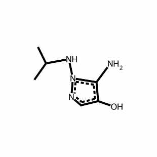 CC(C)Nn1ncc(O)c1N